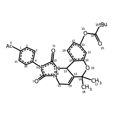 CC(=O)c1ccc(-n2c(=O)n3n(c2=O)C2C(=CC3)C(C)(C)Oc3cc(OC(=O)C(C)(C)C)ccc32)cc1